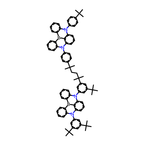 CC(C)(C)c1ccc(N2c3ccccc3B3c4ccccc4N(c4ccc(C(C)(C)CCC(C)(C)c5cc(N6c7ccccc7B7c8ccccc8N(c8cc(C(C)(C)C)cc(C(C)(C)C)c8)c8cccc6c87)cc(C(C)(C)C)c5)cc4)c4cccc2c43)cc1